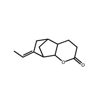 CC=C1CC2CC1C1OC(=O)CCC21